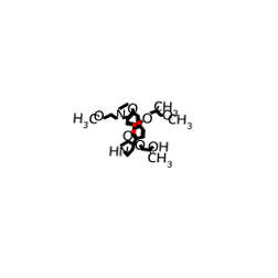 COCCCN1CCOc2ccc(CO[C@H]3CNCC[C@]3(OC[C@@H](C)O)c3ccc(COC[C@@H](C)COC)cc3)cc21